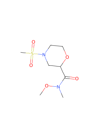 CON(C)C(=O)C1CN(S(C)(=O)=O)CCO1